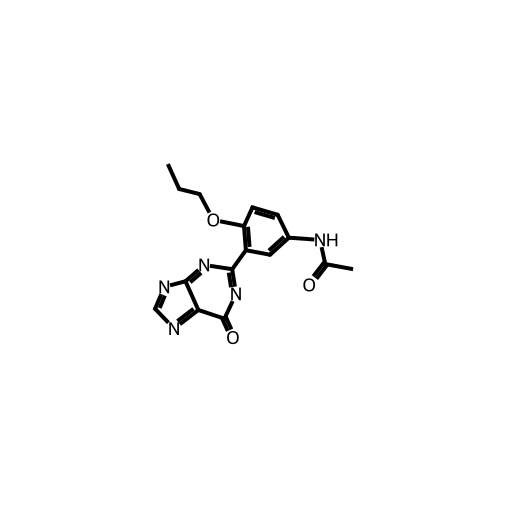 CCCOc1ccc(NC(C)=O)cc1C1=NC(=O)C2=NC=NC2=N1